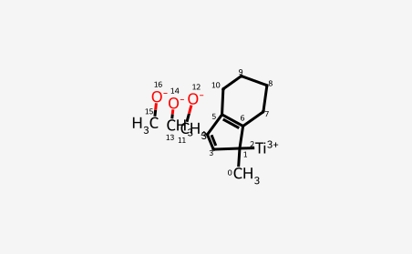 C[C]1([Ti+3])C=CC2=C1CCCC2.C[O-].C[O-].C[O-]